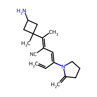 C=C/C(=C\C(C#N)=C(/C)C1(C)CC(N)C1)N1CCCC1=C